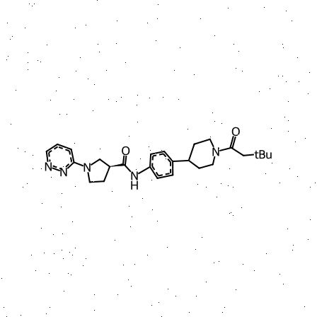 CC(C)(C)CC(=O)N1CCC(c2ccc(NC(=O)[C@H]3CCN(c4cccnn4)C3)cc2)CC1